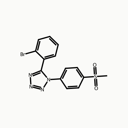 CS(=O)(=O)c1ccc(-n2nnnc2-c2ccccc2Br)cc1